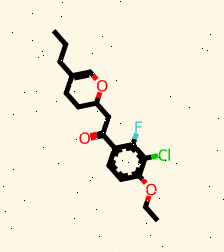 CCCC1=COC(CC(=O)c2ccc(OCC)c(Cl)c2F)CC1